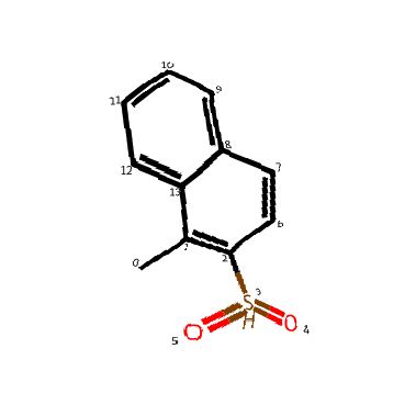 Cc1c([SH](=O)=O)ccc2ccccc12